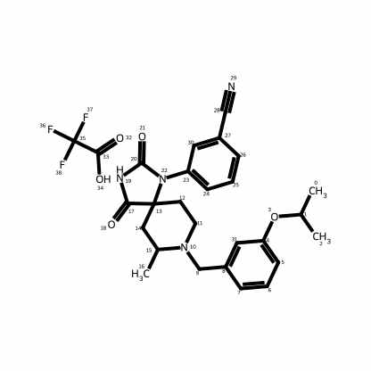 CC(C)Oc1cccc(CN2CCC3(CC2C)C(=O)NC(=O)N3c2cccc(C#N)c2)c1.O=C(O)C(F)(F)F